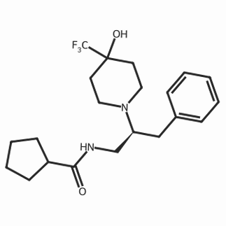 O=C(NC[C@H](Cc1ccccc1)N1CCC(O)(C(F)(F)F)CC1)C1CCCC1